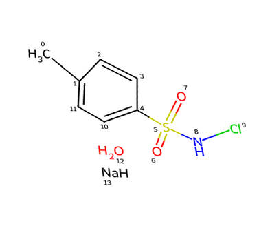 Cc1ccc(S(=O)(=O)NCl)cc1.O.[NaH]